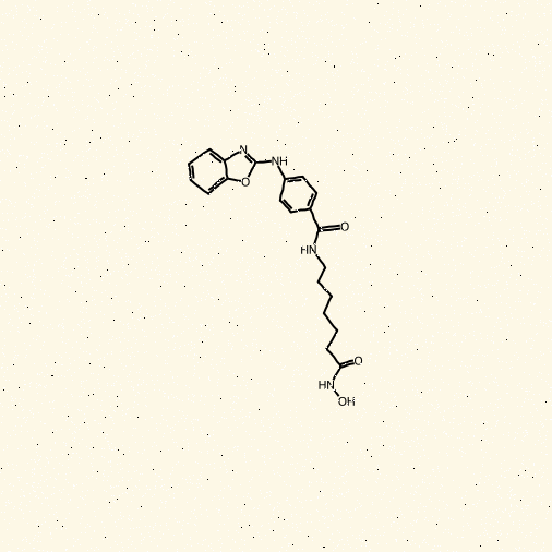 O=C(CCCCCCNC(=O)c1ccc(Nc2nc3ccccc3o2)cc1)NO